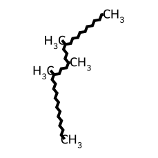 CCCCCCCCCCCCCCC(C)CCCC(C)CCCC(C)CCCCCCCCCCC